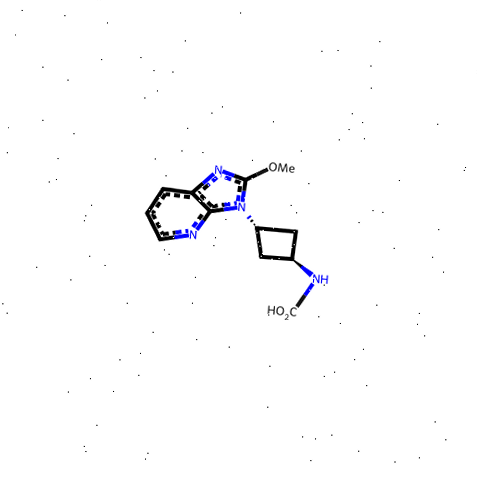 COc1nc2cccnc2n1[C@H]1C[C@H](NC(=O)O)C1